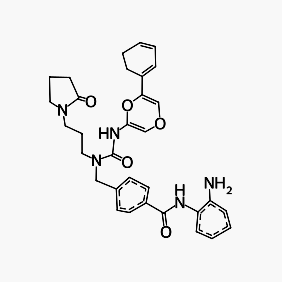 Nc1ccccc1NC(=O)c1ccc(CN(CCCN2CCCC2=O)C(=O)NC2=COC=C(C3=CC=CCC3)O2)cc1